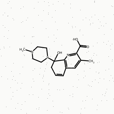 Cc1cc2c(nc1C(=O)O)C(O)(N1CCN(C)CC1)CC=C2